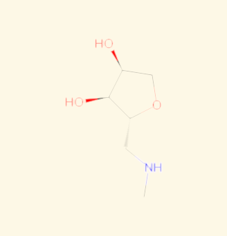 CNC[C@H]1OC[C@H](O)[C@@H]1O